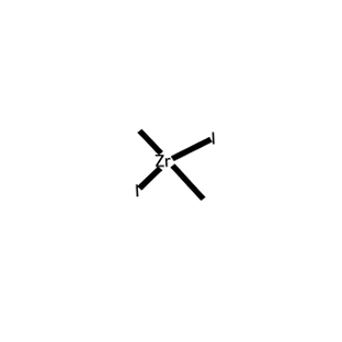 [CH3][Zr]([CH3])([I])[I]